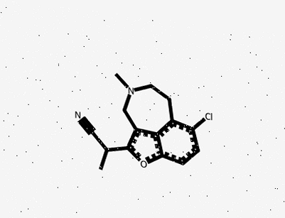 CC(C#N)c1oc2ccc(Cl)c3c2c1CN(C)CC3